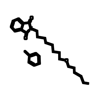 CCCCCCOCCCCCCCCN1C(=O)c2ccccc2C1=O.Cc1ccccc1